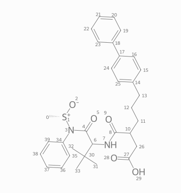 C[S@+]([O-])N(C(=O)C(NC(=O)C(CCCc1ccc(-c2ccccc2)cc1)CC(=O)O)C(C)(C)C)c1ccccc1